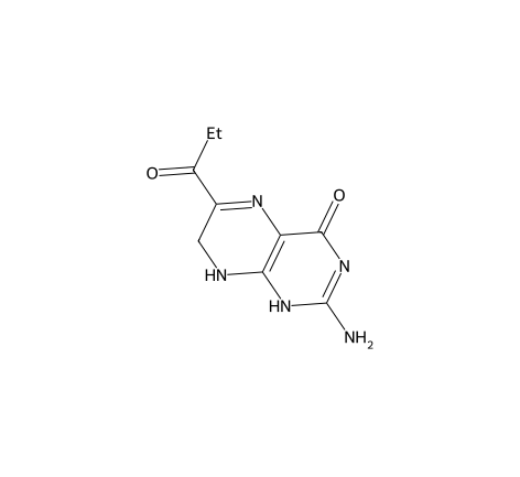 CCC(=O)C1=Nc2c([nH]c(N)nc2=O)NC1